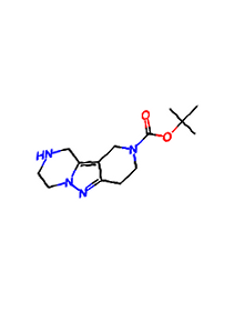 CC(C)(C)OC(=O)N1CCc2nn3c(c2C1)CNCC3